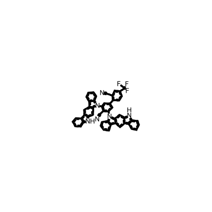 N#Cc1cc(C(F)(F)F)ccc1-c1cc(-n2c3ccccc3c3cc4c(cc32)[nH]c2ccccc24)c(C#N)c(-n2c3ccccc3c3cc4c(cc32)[nH]c2ccccc24)c1